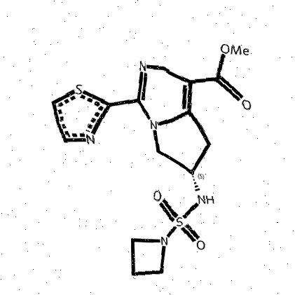 COC(=O)C1=C2C[C@H](NS(=O)(=O)N3CCC3)CN2C(c2nccs2)=NC1